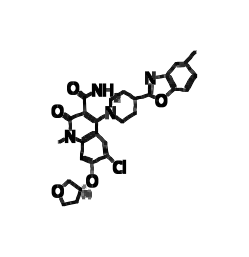 Cc1ccc2oc(C3CCN(c4c(C(N)=O)c(=O)n(C)c5cc(O[C@@H]6CCOC6)c(Cl)cc45)CC3)nc2c1